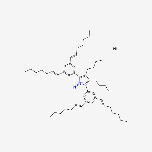 CCCCCC=Cc1cc(C=CCCCCC)cc(C2=C(CCCC)C(CCCCC)=C(c3cc(C=CCCCCC)cc(C=CCCCCC)c3)[N+]2=[N-])c1.[Ni]